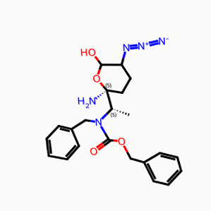 C[C@H](N(Cc1ccccc1)C(=O)OCc1ccccc1)[C@]1(N)CCC(N=[N+]=[N-])C(O)O1